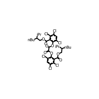 CCCCC(COC(=O)c1c(Cl)c(Cl)cc(Cl)c1OC(=O)C(=O)Oc1c(Cl)cc(Cl)c(Cl)c1C(=O)OCC(CCCC)C(C)C)C(C)C